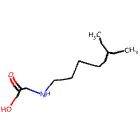 CC(C)CCCCNC(=O)O